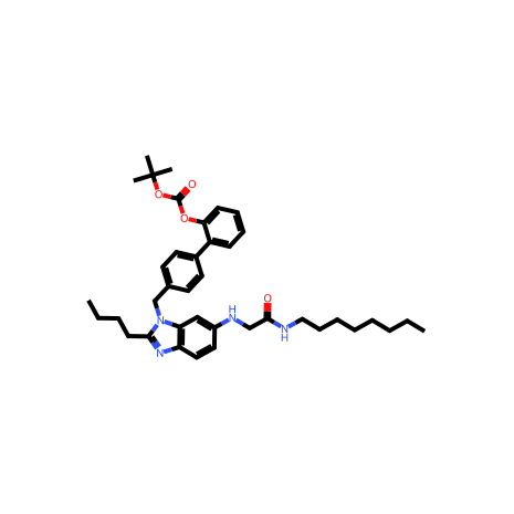 CCCCCCCCNC(=O)CNc1ccc2nc(CCCC)n(Cc3ccc(-c4ccccc4OC(=O)OC(C)(C)C)cc3)c2c1